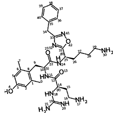 Cc1cc(O)cc(C)c1C[C@H](NC(=O)[C@@H](CCN)NC(=N)N)C(=O)N[C@H](CCCCN)c1nc(Cc2ccccc2)no1